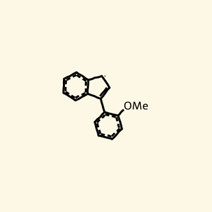 COc1ccccc1C1=C[CH]c2ccccc21